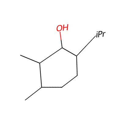 CC(C)C1CCC(C)C(C)C1O